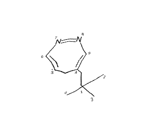 CC(C)(C)c1[c]cnnc1